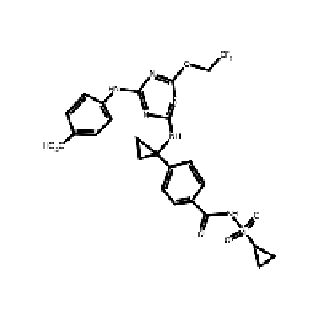 O=C(O)c1ccc(Nc2nc(NC3(c4ccc(C(=O)NS(=O)(=O)C5CC5)cc4)CC3)nc(OCC(F)(F)F)n2)cc1